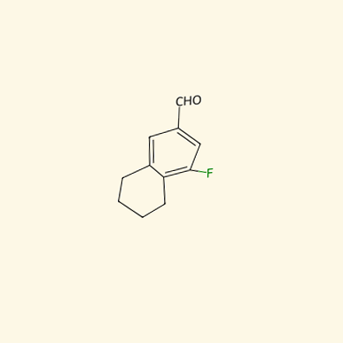 O=Cc1cc(F)c2c(c1)CCCC2